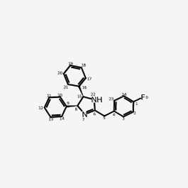 Fc1ccc(CC2=N[C@@H](c3ccccc3)[C@@H](c3ccccc3)N2)cc1